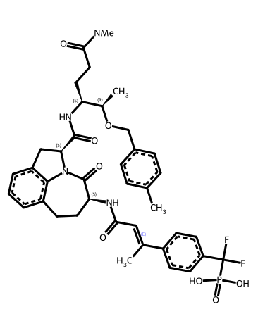 CNC(=O)CC[C@H](NC(=O)[C@@H]1Cc2cccc3c2N1C(=O)[C@@H](NC(=O)/C=C(\C)c1ccc(C(F)(F)P(=O)(O)O)cc1)CC3)[C@@H](C)OCc1ccc(C)cc1